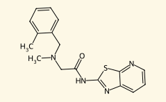 Cc1ccccc1CN(C)CC(=O)Nc1nc2cccnc2s1